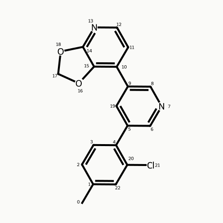 Cc1ccc(-c2cncc(-c3ccnc4c3OCO4)c2)c(Cl)c1